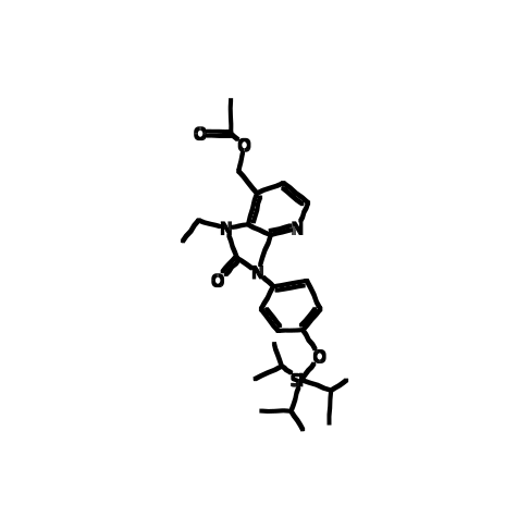 CCn1c(=O)n(-c2ccc(O[Si](C(C)C)(C(C)C)C(C)C)cc2)c2nccc(COC(C)=O)c21